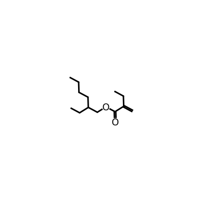 C=C(CC)C(=O)OCC(CC)CCCC